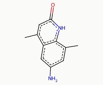 Cc1cc(=O)[nH]c2c(C)cc(N)cc12